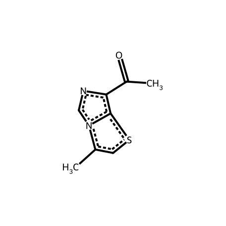 CC(=O)c1ncn2c(C)csc12